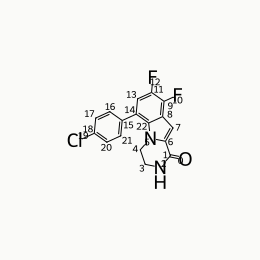 O=C1NCCn2c1cc1c(F)c(F)cc(-c3ccc(Cl)cc3)c12